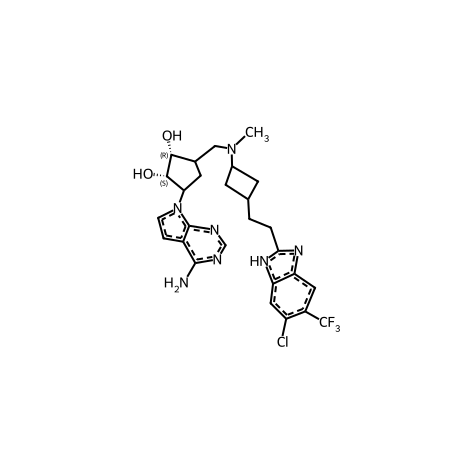 CN(CC1CC(n2ccc3c(N)ncnc32)[C@H](O)[C@@H]1O)C1CC(CCc2nc3cc(C(F)(F)F)c(Cl)cc3[nH]2)C1